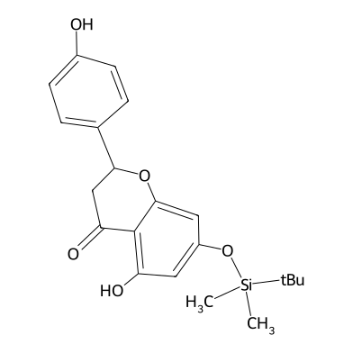 CC(C)(C)[Si](C)(C)Oc1cc(O)c2c(c1)OC(c1ccc(O)cc1)CC2=O